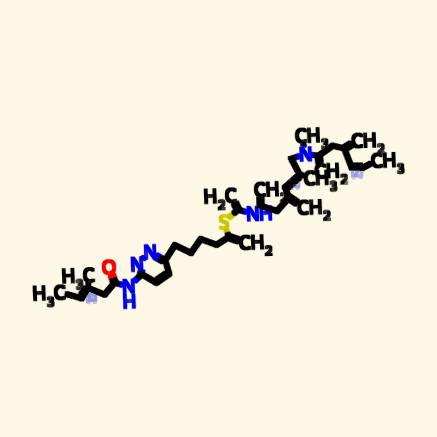 C=C(/C=C\C)CC(=C)N(C)C/C(C)=C/C(=C)CC(=C)NC(=C)SC(=C)CCCCc1ccc(NC(=O)C/C(C)=C/C)nn1